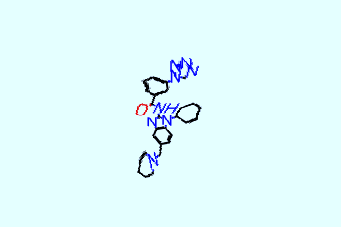 O=C(Nc1nc2cc(CN3CCCCC3)ccc2n1C1CCCCC1)c1cccc(-n2cnnn2)c1